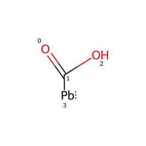 O=[C](O)[Pb]